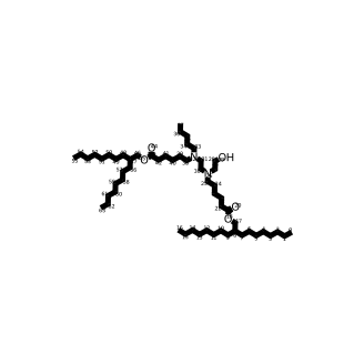 CCCCCCCCC(CCCCCCCC)COC(=O)CCCCCN(CCO)CCN(CCCCC)CCCCCC(=O)OCC(CCCCCCCC)CCCCCCCC